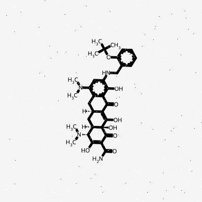 CN(C)c1cc(NCc2ccccc2OC(C)(C)C)c(O)c2c1C[C@@H]1C[C@@H]3[C@@H](N(C)C)C(O)=C(C(N)=O)C(=O)[C@@]3(O)C(O)=C1C2=O